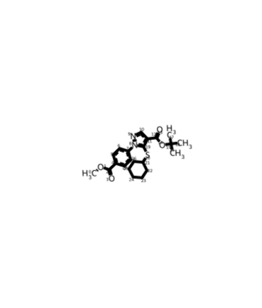 COC(=O)c1ccc(-n2ncc(C(=O)OC(C)(C)C)c2SC2CCCCC2)cc1